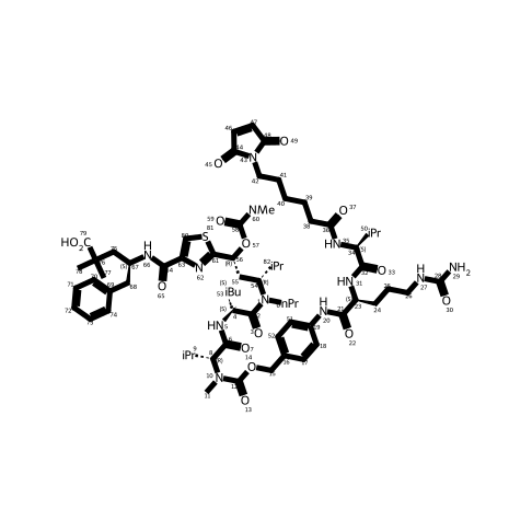 CCCN(C(=O)[C@@H](NC(=O)[C@@H](C(C)C)N(C)C(=O)OCc1ccc(NC(=O)[C@H](CCCNC(N)=O)NC(=O)[C@@H](NC(=O)CCCCCN2C(=O)C=CC2=O)C(C)C)cc1)[C@@H](C)CC)[C@H](C[C@@H](OC(=O)NC)c1nc(C(=O)N[C@@H](Cc2ccccc2)CC(C)(C)C(=O)O)cs1)C(C)C